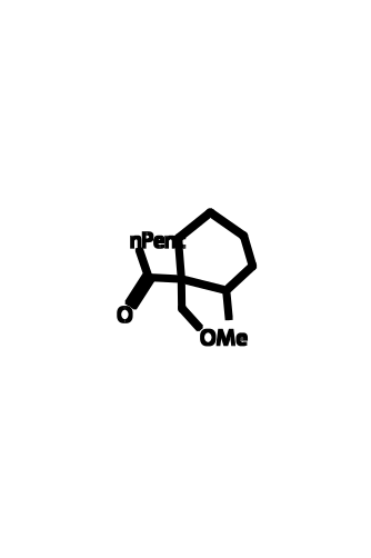 CCCCCC(=O)C1(COC)CCCCC1C